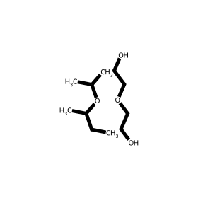 CCC(C)OC(C)C.OCCOCCO